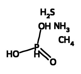 C.N.O=[PH](O)O.S